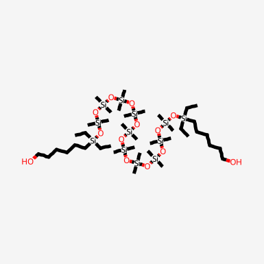 CC[Si](CC)(CCCCCCO)O[Si](C)(C)O[Si](C)(C)O[Si](C)(C)O[Si](C)(C)O[Si](C)(C)O[Si](C)(C)O[Si](C)(C)O[Si](C)(C)O[Si](C)(C)O[Si](C)(C)O[Si](CC)(CC)CCCCCCO